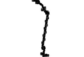 CNC(=O)CCCC1CCN(CCOCCOCCOCCOCCOCCOCCOCCOCCn2cc(CNC(=O)CCCC#Cc3cnc(C(C)(C)C)nc3)nn2)CC1